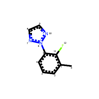 Cc1cccc(-n2nccn2)c1F